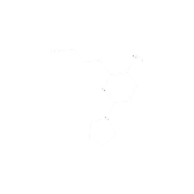 Nc1ccc(N2CCCC2)nc1OCCO